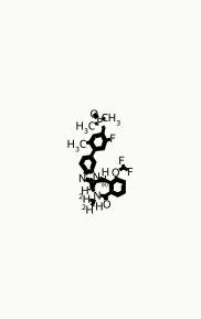 [2H]C([2H])([2H])N1C(=O)c2cccc(OC(F)F)c2[C@H]2C[C@@H]1c1nc3ccc(-c4cc(F)c(CP(C)(C)=O)cc4C)cc3n12